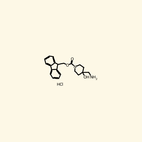 Cl.NCC1(O)CCN(C(=O)OCC2c3ccccc3-c3ccccc32)CC1